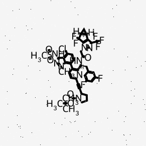 Cn1nc(NS(C)(=O)=O)c2c(Cl)ccc(-c3ccc(C#CC4CCCN4C(=O)OC(C)(C)C)nc3[C@H](Cc3cc(F)cc(F)c3)NC(=O)Cn3nc(C(F)(F)F)c4c3C(F)(F)[C@@H]3C[C@H]43)c21